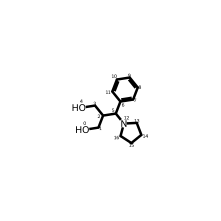 OCC(CO)C(c1ccccc1)N1CCCC1